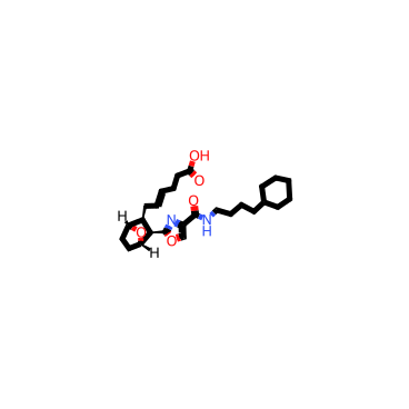 O=C(O)CCC=CC[C@H]1[C@@H](c2nc(C(=O)NCCCCC3CCCCC3)co2)[C@@H]2CC[C@H]1O2